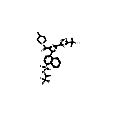 CC1CCN(C(=O)c2nc(-c3nnc(C(C)(C)O)o3)sc2-c2ccc(S(=O)(=O)NC(C)C(F)(F)F)c3ccccc23)CC1